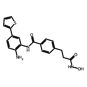 Nc1ccc(-c2cccs2)cc1NC(=O)c1ccc(CCC(=O)NO)cc1